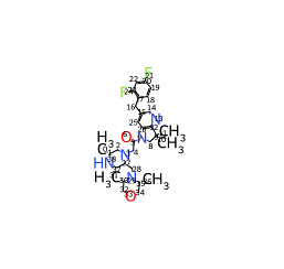 C[C@@H]1CN(CC(=O)N2CC(C)(C)c3ncc(Cc4ccc(F)cc4F)cc32)[C@@H](CN2[C@H](C)COC[C@H]2C)CN1